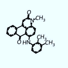 Cc1cccc(Nc2ccc3c4c(cc(=O)n3C)-c3ccccc3C(=O)c24)c1C